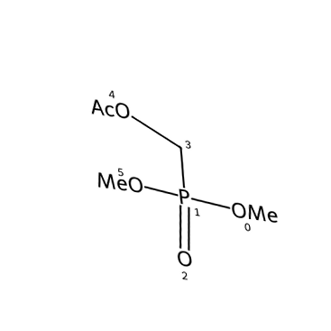 COP(=O)(COC(C)=O)OC